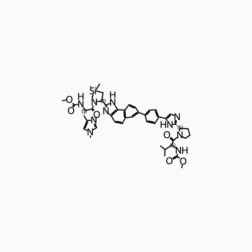 COC(=O)N[C@@H](Cc1cn(C)cn1)C(=O)N1C[Si](C)(C)C[C@H]1c1nc2ccc3cc(-c4ccc(-c5cnc([C@@H]6CCCN6C(=O)[C@@H](NC(=O)OC)C(C)C)[nH]5)cc4)ccc3c2[nH]1